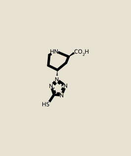 O=C(O)[C@H]1C[C@H](n2nnc(S)n2)CCN1